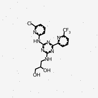 OCC(O)CNc1nc(Nc2cccc(Cl)n2)nc(-c2cccc(C(F)(F)F)n2)n1